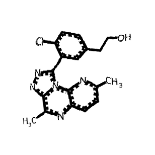 Cc1ccc2nc(C)c3nnc(-c4cc(CCO)ccc4Cl)n3c2n1